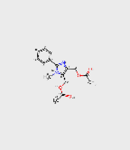 CC(=O)OCc1nc(-c2ccccc2)n(C)c1COC(C)=O